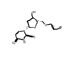 O=c1ccn([C@@H]2CC(O)[C@H](CO/C=C/Br)O2)c(=O)[nH]1